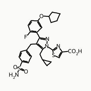 NS(=O)(=O)c1ccc(Cc2c(-c3cc(OC4CCCC4)ccc3F)nn(-c3nc(C(=O)O)cs3)c2CC2CC2)cc1